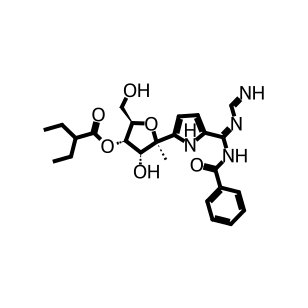 CCC(CC)C(=O)O[C@H]1[C@@H](O)[C@](C)(c2ccc(/C(=N\C=N)NC(=O)c3ccccc3)[nH]2)O[C@@H]1CO